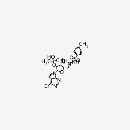 Cc1ccc(S(=O)(=O)N/N=C/[C@H]2O[C@@H](n3ccc4c(Cl)ncnc43)[C@H](OC(C)(C)O)[C@@H]2C)cc1